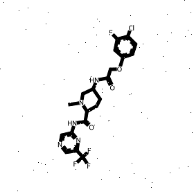 CN1CC(NC(=O)COc2ccc(Cl)c(F)c2)CCC1C(=O)Nc1cncc(C(F)(F)F)n1